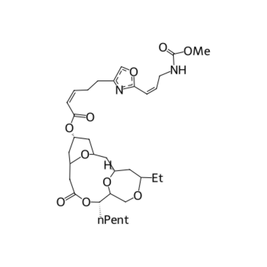 CCCCC[C@@H]1OC(=O)CC2C[C@H](OC(=O)/C=C\CCc3coc(/C=C\CNC(=O)OC)n3)CC(C[C@H]3CC(CC)OCC1O3)O2